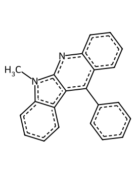 Cn1c2ccccc2c2c(-c3ccccc3)c3ccccc3nc21